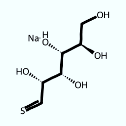 OC[C@@H](O)[C@@H](O)[C@H](O)[C@@H](O)C=S.[Na]